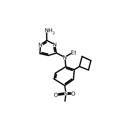 CCN(c1ccnc(N)n1)c1ccc(S(C)(=O)=O)cc1C1CCC1